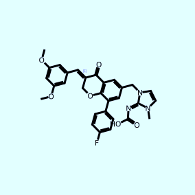 COc1cc(/C=C2\COc3c(cc(Cn4ccn(C)c4=NC(=O)O)cc3-c3ccc(F)cc3)C2=O)cc(OC)c1